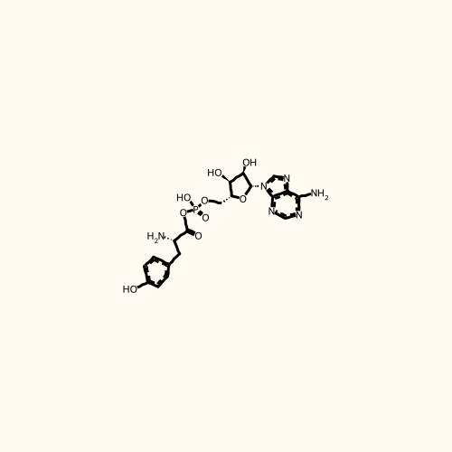 Nc1ncnc2c1ncn2[C@@H]1O[C@H](COP(=O)(O)OC(=O)[C@@H](N)Cc2ccc(O)cc2)[C@@H](O)[C@H]1O